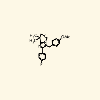 COc1ccc(Cc2c(-c3ccc(F)cc3)nc3n2CCCC3(C)C)cc1